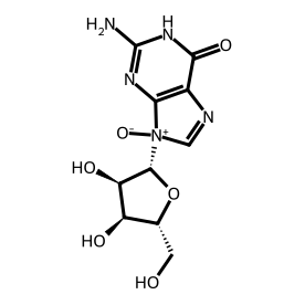 Nc1nc2c(c(=O)[nH]1)N=C[N+]2([O-])[C@@H]1O[C@H](CO)[C@@H](O)[C@H]1O